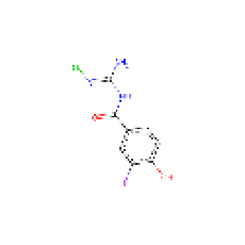 NC(=NCl)NC(=O)c1ccc(O)c(I)c1